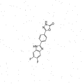 O=c1[nH]nc(-c2ccc(-c3nc4cc(F)c(F)cc4[nH]3)cc2)o1